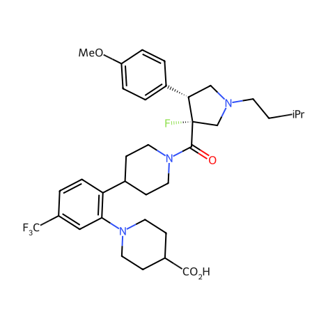 COc1ccc([C@@H]2CN(CCC(C)C)C[C@@]2(F)C(=O)N2CCC(c3ccc(C(F)(F)F)cc3N3CCC(C(=O)O)CC3)CC2)cc1